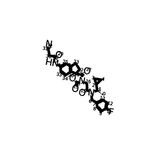 C[C@@H](C1CC1)N(Cc1ccc(F)cc1)C(=O)CN1C(=O)OC2(CCc3cc(NC(=O)CC#N)ccc32)C1=O